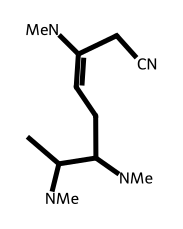 CNC(=CCC(NC)C(C)NC)CC#N